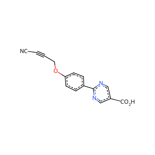 N#CC#CCOc1ccc(-c2ncc(C(=O)O)cn2)cc1